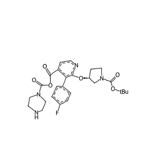 CC(C)(C)OC(=O)N1CC[C@H](Oc2nccc(C(=O)OC(=O)N3CCNCC3)c2-c2ccc(F)cc2)C1